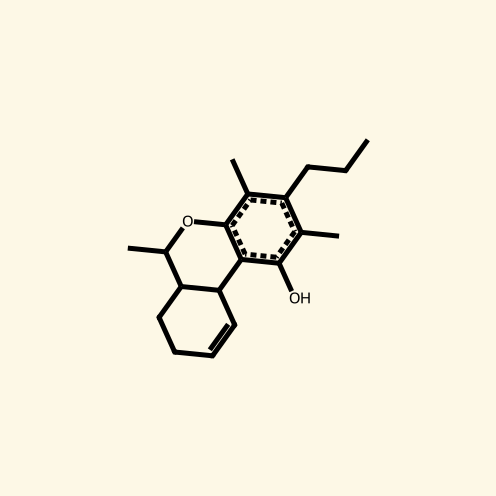 CCCc1c(C)c(O)c2c(c1C)OC(C)C1CCC=CC21